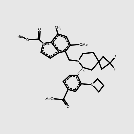 COC(=O)c1ccc([C@H]2CC3(CCN2Cc2c(OC)cc(C)c4c2ccn4C(=O)OC(C)(C)C)CC(F)(F)C3)c(N2CCC2)c1